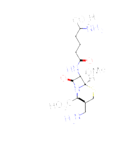 CO[C@@]1(NC(=O)CCCC(N)C(=O)O)C(=O)N2C(C(=O)O)=C(CN)CS[C@H]21